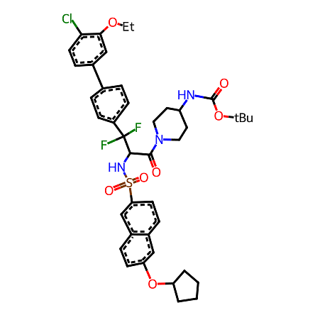 CCOc1cc(-c2ccc(C(F)(F)C(NS(=O)(=O)c3ccc4cc(OC5CCCC5)ccc4c3)C(=O)N3CCC(NC(=O)OC(C)(C)C)CC3)cc2)ccc1Cl